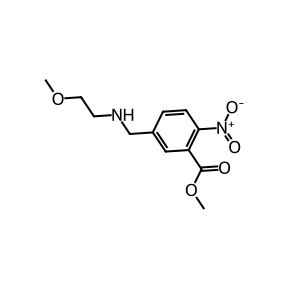 COCCNCc1ccc([N+](=O)[O-])c(C(=O)OC)c1